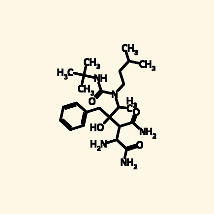 CC(C)CCN(C(=O)NC(C)(C)C)C(C)C(O)(Cc1ccccc1)C(C(N)=O)C(N)C(N)=O